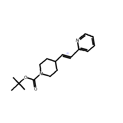 CC(C)(C)OC(=O)N1CCC(/C=C/c2ccccn2)CC1